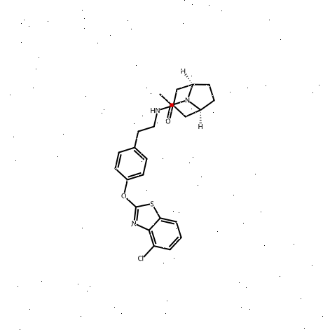 CC(=O)N1[C@@H]2CC[C@H]1CC(NCCc1ccc(Oc3nc4c(Cl)cccc4s3)cc1)C2